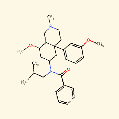 COc1cccc(C23CCN(C)CC2C(OC)CC(N(CC(C)C)C(=O)c2ccccc2)C3)c1